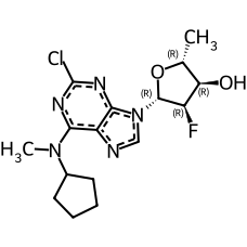 C[C@H]1O[C@@H](n2cnc3c(N(C)C4CCCC4)nc(Cl)nc32)[C@H](F)[C@@H]1O